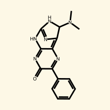 CN(C)C1Nc2nc1c1nc(-c3ccccc3)c(=O)nc-1[nH]2